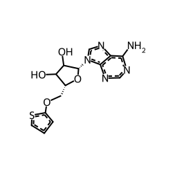 Nc1ncnc2c1ncn2[C@@H]1O[C@H](COc2cccs2)C(O)C1O